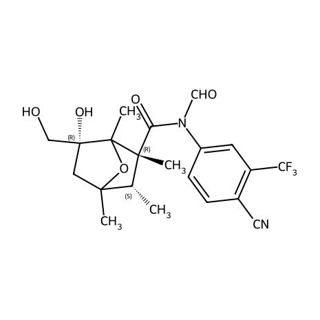 C[C@@H]1C2(C)C[C@@](O)(CO)C(C)(O2)[C@]1(C)C(=O)N(C=O)c1ccc(C#N)c(C(F)(F)F)c1